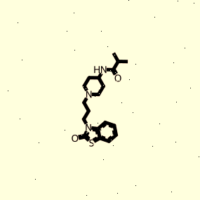 CC(C)C(=O)NC1CCN(CCCn2c(=O)sc3ccccc32)CC1